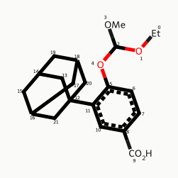 CCOC(OC)Oc1ccc(C(=O)O)cc1C12CC3CC(CC(C3)C1)C2